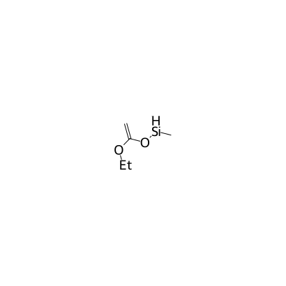 C=C(OCC)O[SiH](C)C